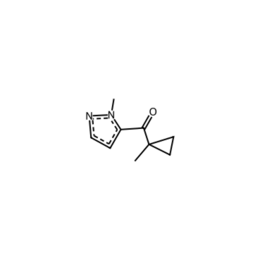 Cn1nccc1C(=O)C1(C)CC1